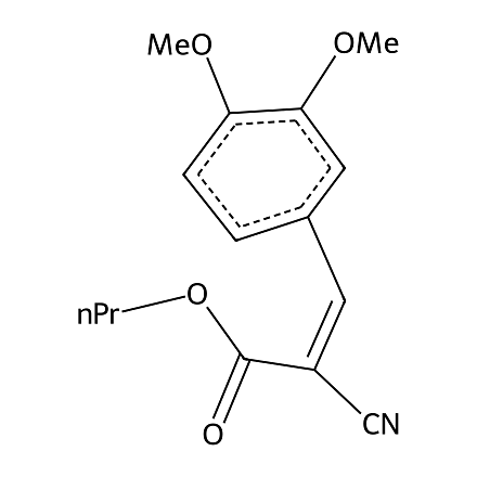 CCCOC(=O)C(C#N)=Cc1ccc(OC)c(OC)c1